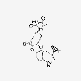 Cc1nn(-c2cc(Cl)c(Oc3ccc4[nH]cc(C(C)C)c4c3)c(Cl)c2)c(=O)[nH]c1=O